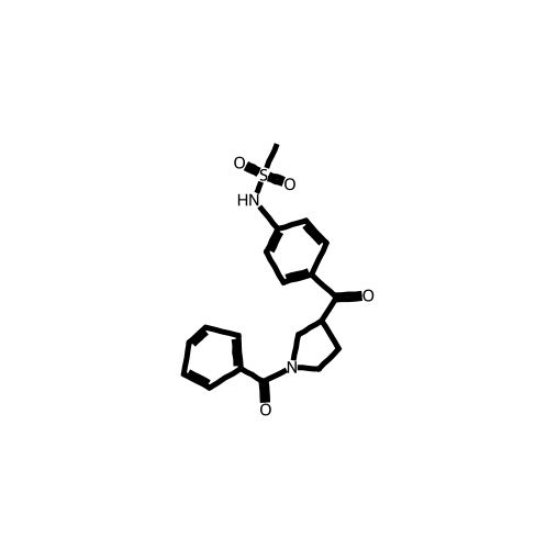 CS(=O)(=O)Nc1ccc(C(=O)C2CCN(C(=O)c3ccccc3)C2)cc1